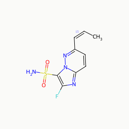 C/C=C\c1ccc2nc(F)c(S(N)(=O)=O)n2n1